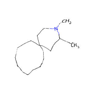 CC1CC2(CCCCCCC2)CCN1C